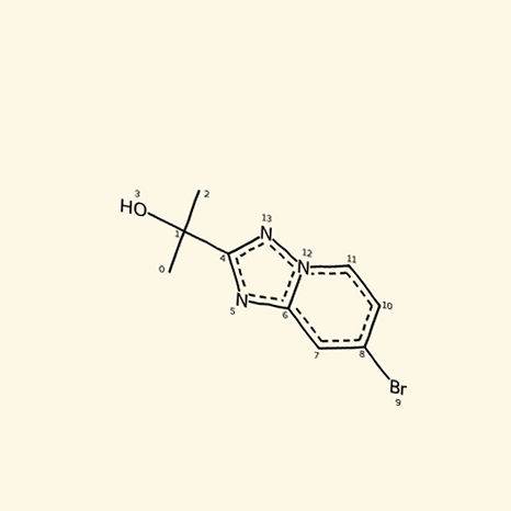 CC(C)(O)c1nc2cc(Br)ccn2n1